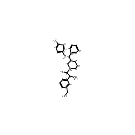 CC(C)Cc1cccc(C(C)C(=O)N2CCCC([C@H](Oc3ccc(C(F)(F)F)cc3)c3ccccc3)C2)c1